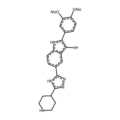 COc1ccc(-c2[nH]c3ccc(-c4nnc(C5CCNCC5)[nH]4)cc3c2C(C)C)cc1OC